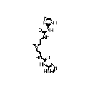 CN(CCNC(=O)Nc1nnc[nH]1)CCNC(=O)Nc1nnc[nH]1